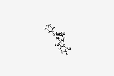 Fc1ccc(Nc2ncc(Br)c(NCc3ccncc3)n2)cc1Cl